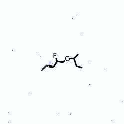 C/C=C/C(F)COC(C)CC